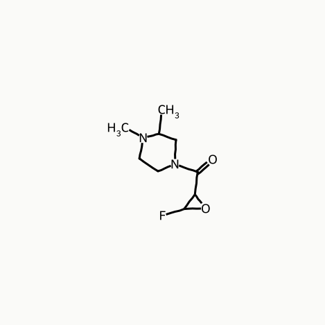 CC1CN(C(=O)C2OC2F)CCN1C